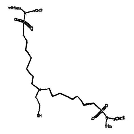 CCCCCCCCN(CCCCCC)S(=O)(=O)CCCCCCCN(CCO)CCCCCCCS(=O)(=O)N(CCCCCC)CCCCCCCC